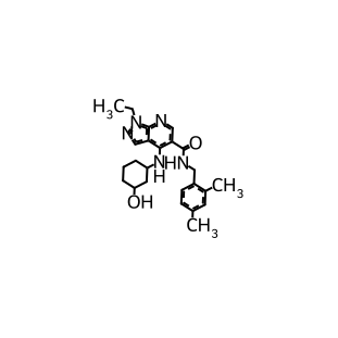 CCn1ncc2c(NC3CCCC(O)C3)c(C(=O)NCc3ccc(C)cc3C)cnc21